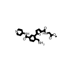 COC(=O)CNC(=O)c1ccc(-c2cc(C(=O)Nc3ccncc3)ccc2CN)s1